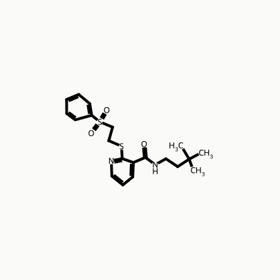 CC(C)(C)CCNC(=O)c1cccnc1SCCS(=O)(=O)c1ccccc1